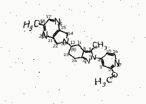 COc1cc(-n2nc3c(c2C)C[C@H](N2Cc4ncc(C)nc4C2)CC3)ccn1